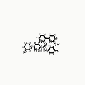 Cc1ccc(NC(=O)c2ccc(N3CCCC(F)C3)nc2)cc1Nc1nccc(-c2cccnc2)n1